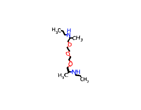 CCCNC(C)COCCOCCOCC(C)NCCC